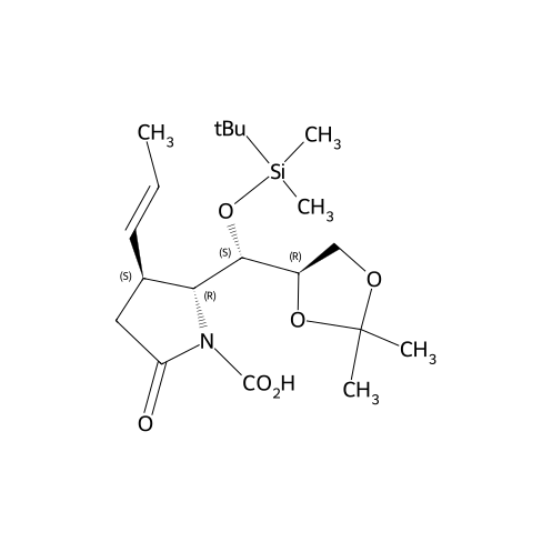 CC=C[C@@H]1CC(=O)N(C(=O)O)[C@H]1[C@H](O[Si](C)(C)C(C)(C)C)[C@H]1COC(C)(C)O1